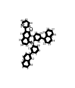 c1cc(-c2ccc3ccccc3c2)cc(N(c2cccc(-c3cccc4ccccc34)c2)c2cccc3cc4c(cc23)oc2cccnc24)c1